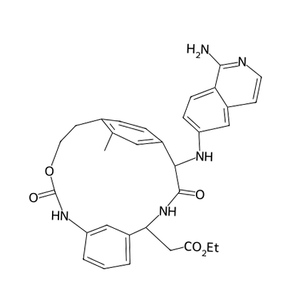 CCOC(=O)CC1NC(=O)C(Nc2ccc3c(N)nccc3c2)c2ccc(c(C)c2)CCOC(=O)Nc2cccc1c2